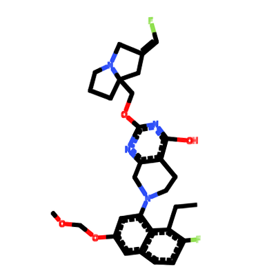 CCc1c(F)ccc2cc(OCOC)cc(N3CCc4c(O)nc(OCC56CCCN5C/C(=C\F)C6)nc4C3)c12